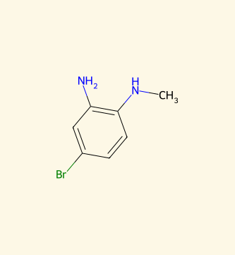 CNc1ccc(Br)cc1N